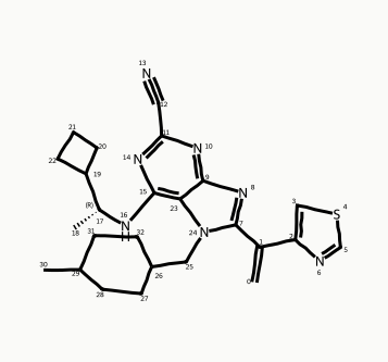 C=C(c1cscn1)c1nc2nc(C#N)nc(N[C@H](C)C3CCC3)c2n1CC1CCC(C)CC1